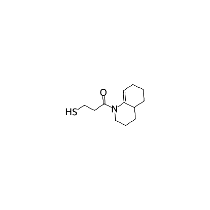 O=C(CCS)N1CCCC2CCCC=C21